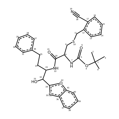 CC(C)(C)OC(=O)NC(CSCc1ccccc1C#N)C(=O)NC(CCc1ccccc1)C(O)c1nc2ccccc2o1